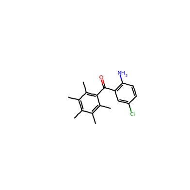 Cc1c(C)c(C)c(C(=O)c2cc(Cl)ccc2N)c(C)c1C